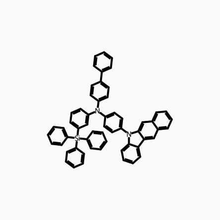 c1ccc(-c2ccc(N(c3ccc(-n4c5ccccc5c5cc6ccccc6cc54)cc3)c3cccc([Si](c4ccccc4)(c4ccccc4)c4ccccc4)c3)cc2)cc1